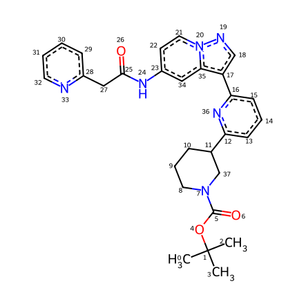 CC(C)(C)OC(=O)N1CCCC(c2cccc(-c3cnn4ccc(NC(=O)Cc5ccccn5)cc34)n2)C1